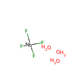 O.O.O.[F][Nb]([F])([F])[F]